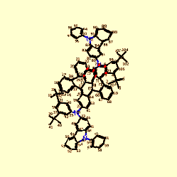 CC(C)(C)c1cc(N(c2ccc3c(-c4ccccc4-c4ccccc4)c4cc(N(c5cc(C(C)(C)C)cc(C(C)(C)C)c5)c5ccc6c(c5)c5ccccc5n6-c5ccccc5)ccc4c(-c4ccccc4-c4ccccc4)c3c2)c2ccc3c(c2)c2ccccc2n3-c2ccccc2)cc(C(C)(C)C)c1